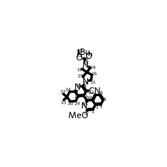 COc1cc2ccccc2c(-c2c(C#N)c(N3CCC4(CN(C(=O)OC(C)(C)C)C4)C3)nc3c2CCC(C)(C)C3)n1